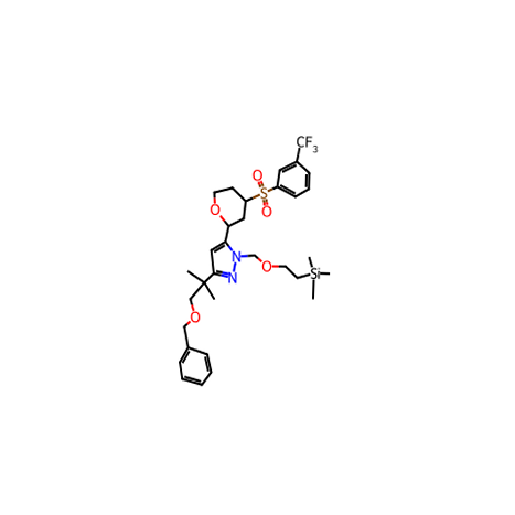 CC(C)(COCc1ccccc1)c1cc(C2CC(S(=O)(=O)c3cccc(C(F)(F)F)c3)CCO2)n(COCC[Si](C)(C)C)n1